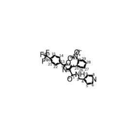 O=C(NCc1ccncc1)c1nc(-c2ccc(C(F)(F)F)cc2)oc1-c1ccccc1[N+](=O)[O-]